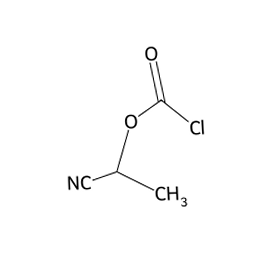 CC(C#N)OC(=O)Cl